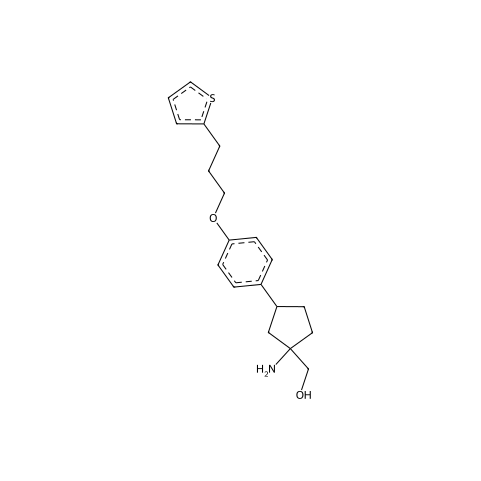 NC1(CO)CCC(c2ccc(OCCCc3cccs3)cc2)C1